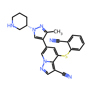 Cc1nn([C@H]2CCCNC2)cc1-c1cc(Sc2ccccc2C#N)c2c(C#N)cnn2c1